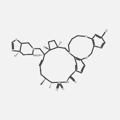 CO[C@@]1(CN2CC[C@H]3N=CSC3C2)/C=C/C[C@H](C)[C@@H](C)S(=O)(=O)NC(=O)c2ccc3c(c2)N(CCCCc2cc(Cl)ccc2CO3)C[C@@H]2CC[C@H]21